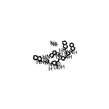 O=S(=O)(O)c1cc(Nc2cc(Nc3ccc4ccccc4c3)nc(Nc3ccc4ccccc4c3)n2)ccc1C=Cc1ccc(Nc2cc(Nc3ccc4ccccc4c3)nc(Nc3ccc4ccccc4c3)n2)cc1S(=O)(=O)O.[Na].[Na]